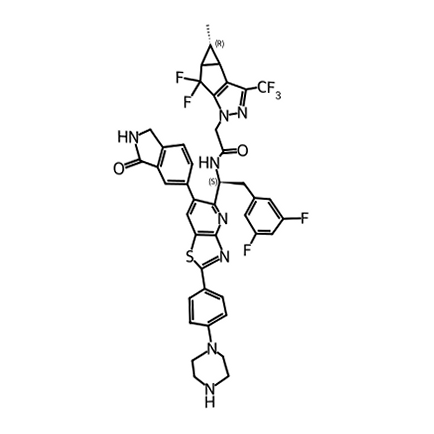 C[C@@H]1C2c3c(C(F)(F)F)nn(CC(=O)N[C@@H](Cc4cc(F)cc(F)c4)c4nc5nc(-c6ccc(N7CCNCC7)cc6)sc5cc4-c4ccc5c(c4)C(=O)NC5)c3C(F)(F)C21